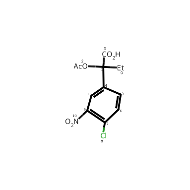 CCC(OC(C)=O)(C(=O)O)c1ccc(Cl)c([N+](=O)[O-])c1